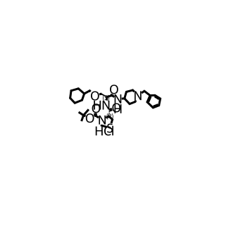 CC(C)(C)OC(=O)N1CSC[C@H]1C(=O)N[C@@H](COCC1CCCCC1)C(=O)NC1CCN(Cc2ccccc2)CC1.Cl